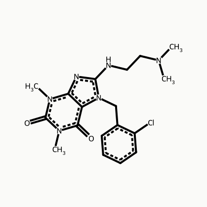 CN(C)CCNc1nc2c(c(=O)n(C)c(=O)n2C)n1Cc1ccccc1Cl